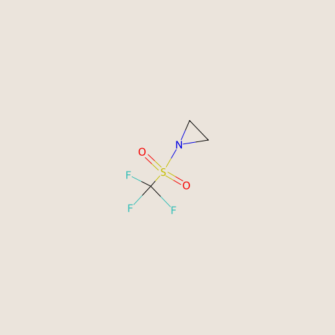 O=S(=O)(N1CC1)C(F)(F)F